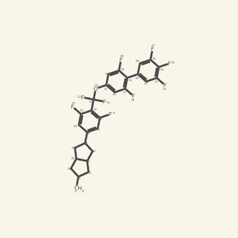 CC1CC2CC(c3cc(F)c(C(F)(F)Oc4cc(F)c(-c5cc(F)c(F)c(F)c5)c(F)c4)c(F)c3)CC2C1